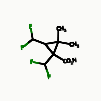 CC1(C)C(C(F)F)C1(C(=O)O)C(F)F